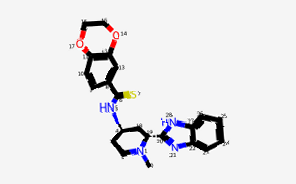 CN1CC[C@@H](NC(=S)c2ccc3c(c2)OCCO3)C[C@@H]1c1nc2ccccc2[nH]1